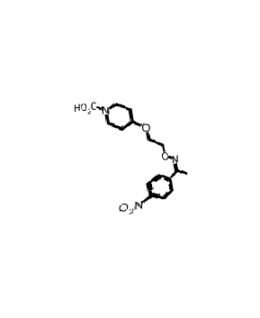 CC(=NOCCOC1CCN(C(=O)O)CC1)c1ccc([N+](=O)[O-])cc1